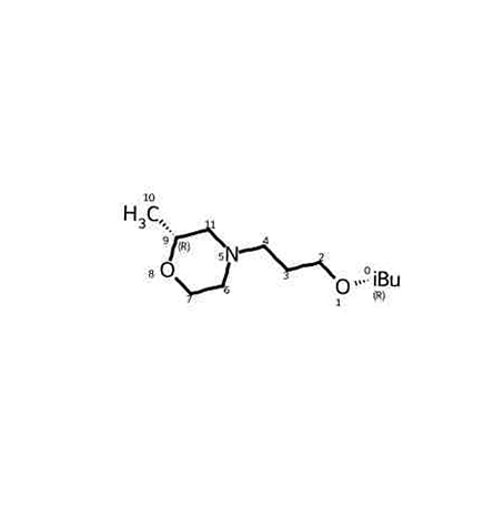 CC[C@@H](C)OCCCN1CCO[C@H](C)C1